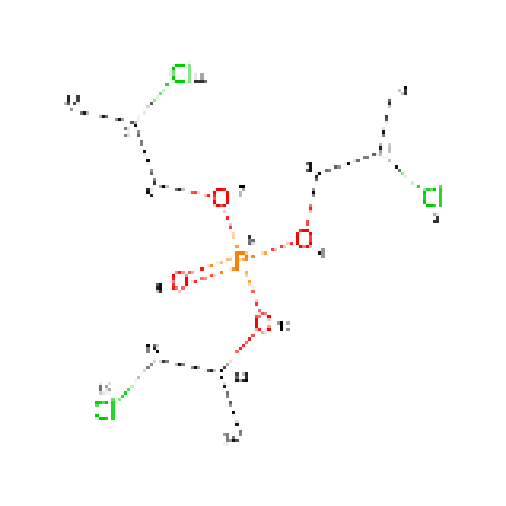 CC(Cl)COP(=O)(OCC(C)Cl)OC(C)CCl